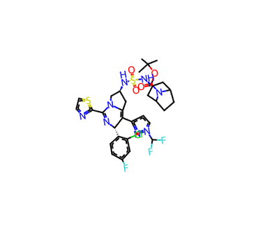 CC(C)(C)OC(=O)N1C2CCC1CC(NS(=O)(=O)N[C@H]1CC3=C(c4ccn(C(F)F)n4)[C@H](c4ccc(F)cc4Cl)N=C(c4nccs4)N3C1)C2